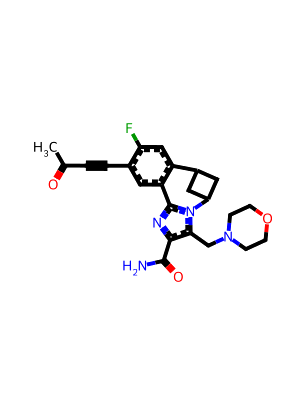 CC(=O)C#Cc1cc2c(cc1F)C1CC(C1)n1c-2nc(C(N)=O)c1CN1CCOCC1